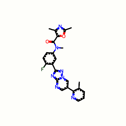 Cc1nc(C)c(C(=O)N(C)c2ccc(F)c(-c3nc4ncc(-c5ncccc5C)cn4n3)c2)o1